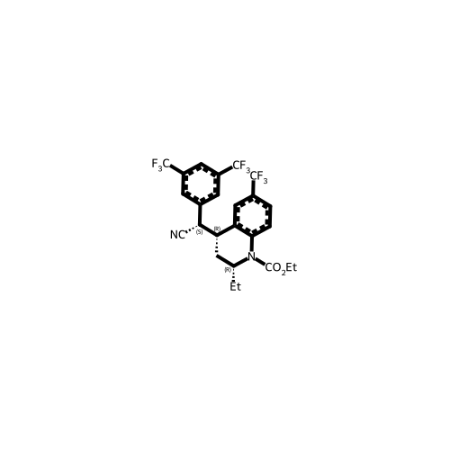 CCOC(=O)N1c2ccc(C(F)(F)F)cc2[C@@H]([C@H](C#N)c2cc(C(F)(F)F)cc(C(F)(F)F)c2)C[C@H]1CC